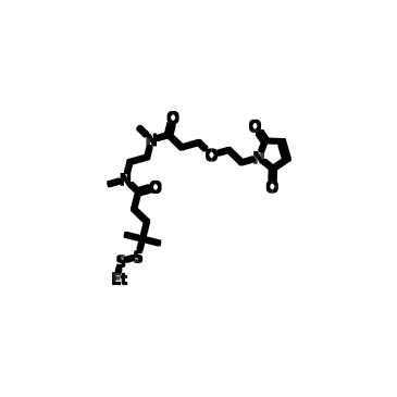 [CH2]CSSC(C)(C)CCC(=O)N(C)CCN(C)C(=O)CCOCCN1C(=O)C=CC1=O